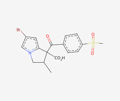 CC1Cn2cc(Br)cc2C1(C(=O)O)C(=O)c1ccc(S(C)(=O)=O)cc1